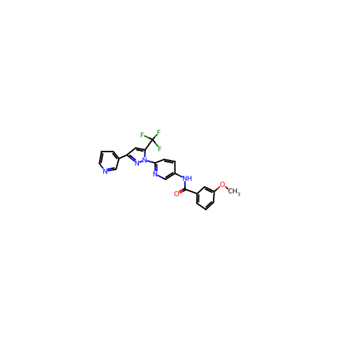 COc1cccc(C(=O)Nc2ccc(-n3nc(-c4cccnc4)cc3C(F)(F)F)nc2)c1